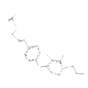 CCCc1ccc(Oc2ccc(/C=C/[C@H](C)NC(C)=O)cn2)c(Cl)c1Cl